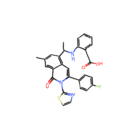 Cc1cc(C(C)Nc2ccccc2C(=O)O)c2cc(-c3ccc(F)cc3)n(-c3nccs3)c(=O)c2c1